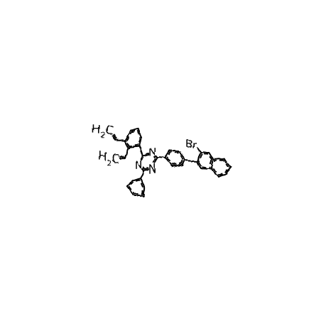 C=Cc1cccc(-c2nc(-c3ccccc3)nc(-c3ccc(-c4cc5ccccc5cc4Br)cc3)n2)c1C=C